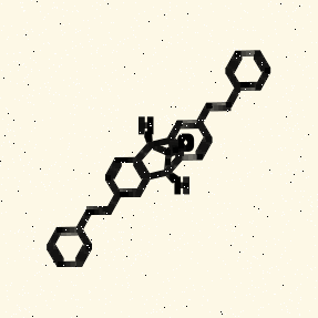 O=C1[C@@H]2c3ccc(/C=C/c4ccccc4)cc3[C@H]1c1ccc(/C=C/c3ccccc3)cc12